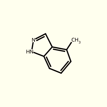 Cc1cccc2[nH]ncc12